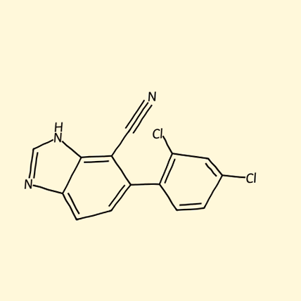 N#Cc1c(-c2ccc(Cl)cc2Cl)ccc2nc[nH]c12